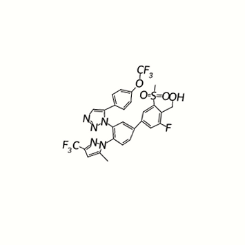 Cc1cc(C(F)(F)F)nn1-c1ccc(-c2cc(F)c(CO)c(S(C)(=O)=O)c2)cc1-n1nncc1-c1ccc(OC(F)(F)F)cc1